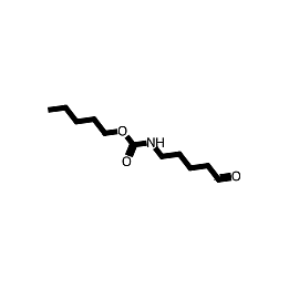 CCCCCOC(=O)NCCCC[C]=O